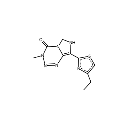 CCc1csc(C2=C3N=NN(C)C(=O)N3CN2)n1